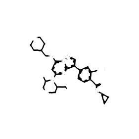 CCC1COCC(C)N1c1cc(NCC2CCOCC2)n2ncc(-c3ccc(C(=O)NC4CC4)c(C)c3)c2n1